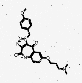 COc1ccc(Cn2nnc3c(=O)[nH]c4ccc(OCCCN(C)C)cc4c(=O)c32)cc1